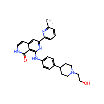 Cc1cccc(-c2cc3cc[nH]c(=O)c3c(Nc3ccc(C4CCN(CCO)CC4)cc3)n2)n1